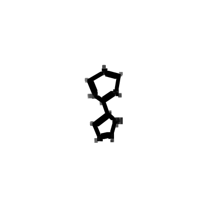 [c]1nn[nH]c1-c1ncncn1